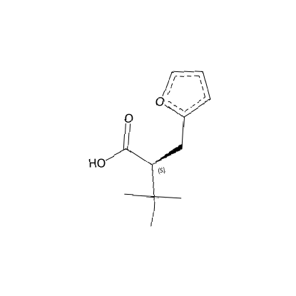 CC(C)(C)[C@H](Cc1ccco1)C(=O)O